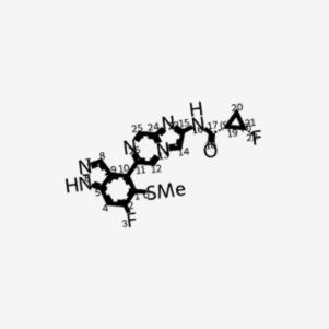 CSc1c(F)cc2[nH]ncc2c1-c1cn2cc(NC(=O)[C@@H]3C[C@@H]3F)nc2cn1